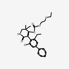 CCOCCOC(=O)OC1=C(c2c(Cl)cc(-c3ccccc3)cc2CC)C(=O)NCC1(C)C